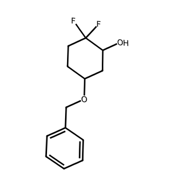 OC1CC(OCc2ccccc2)CCC1(F)F